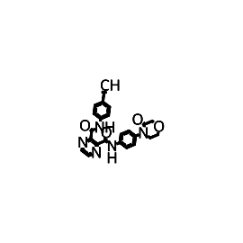 C#Cc1ccc(NC(=O)c2nccnc2C(=O)Nc2ccc(N3CCOCC3=O)cc2)cc1